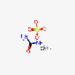 NC(N)=O.O=S(=O)([O-])[O-].[Co+2]